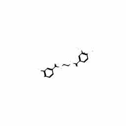 O=Nc1cc(C(=O)NCCNC(=O)c2ccc(O)c([N+](=O)[O-])c2)ccc1O